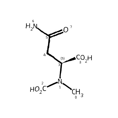 CN(C(=O)O)[C@@H](CC(N)=O)C(=O)O